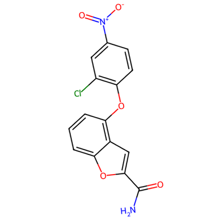 NC(=O)c1cc2c(Oc3ccc([N+](=O)[O-])cc3Cl)cccc2o1